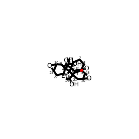 CCC(C1(C(C)O)CCC2OC2C1)(C1(C(C)O)CCC2OC2C1)C1(C(C)O)CCC2OC2C1